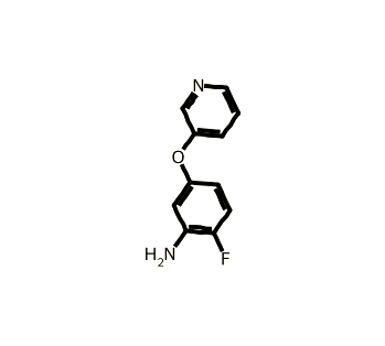 Nc1cc(Oc2cccnc2)ccc1F